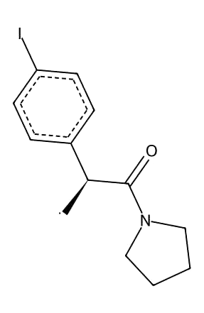 [CH2][C@H](C(=O)N1CCCC1)c1ccc(I)cc1